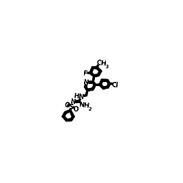 Cc1ccc(-c2ncc(CN/C(N)=N/S(=O)(=O)c3ccccc3)cc2-c2ccc(Cl)cc2)c(F)c1